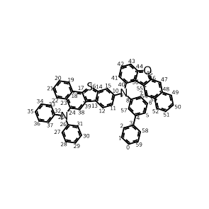 c1ccc(-c2cccc(N(c3ccc4c(c3)sc3c5ccccc5c(N(c5ccccc5)c5ccccc5)cc43)c3cccc4oc5cc6ccccc6cc5c34)c2)cc1